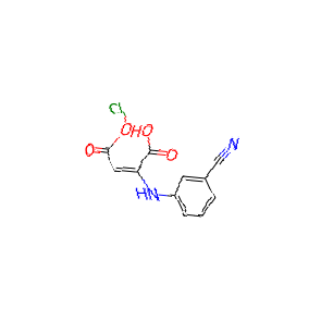 N#Cc1cccc(NC(=CC(=O)OCl)C(=O)O)c1